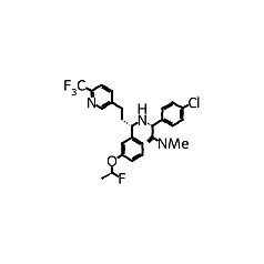 C=C(NC)[C@H](N[C@@H](CCc1ccc(C(F)(F)F)nc1)c1cccc(O[C@H](C)F)c1)c1ccc(Cl)cc1